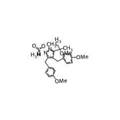 COc1ccc(Cc2nn(C)c(C(C)(C)OC)c2Cc2ccc(OC)cc2)cc1.N[SH](=O)=O